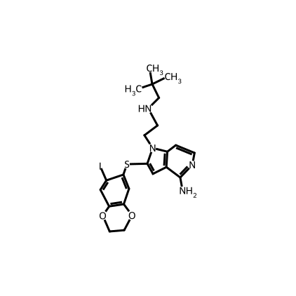 CC(C)(C)CNCCn1c(Sc2cc3c(cc2I)OCCO3)cc2c(N)nccc21